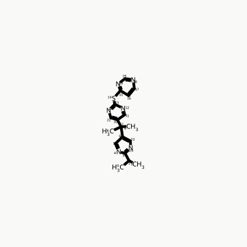 CC(C)c1ncc(C(C)(C)c2cnc(Sc3ccncn3)nc2)cn1